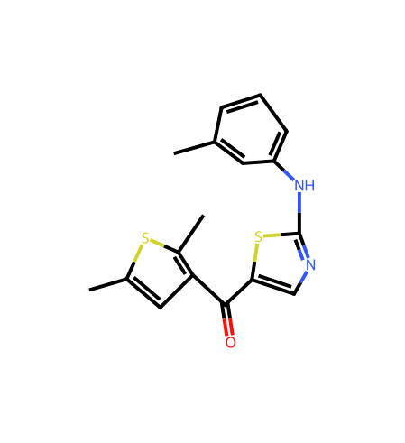 Cc1cccc(Nc2ncc(C(=O)c3cc(C)sc3C)s2)c1